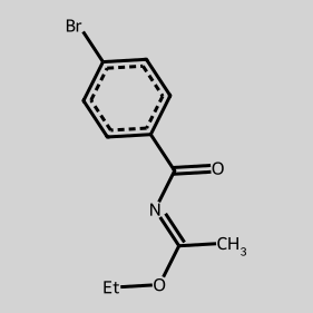 CCO/C(C)=N/C(=O)c1ccc(Br)cc1